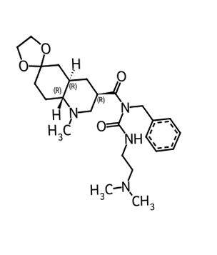 CN(C)CCNC(=O)N(Cc1ccccc1)C(=O)[C@@H]1C[C@@H]2CC3(CC[C@H]2N(C)C1)OCCO3